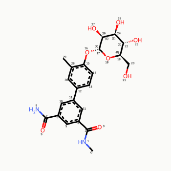 CNC(=O)c1cc(C(N)=O)cc(-c2ccc(O[C@H]3O[C@H](CO)[C@@H](O)[C@H](O)[C@@H]3O)c(C)c2)c1